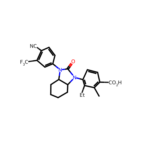 CCc1c(N2C(=O)N(c3ccc(C#N)c(C(F)(F)F)c3)C3CCCCC32)ccc(C(=O)O)c1C